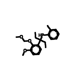 CCC(CC)(Pc1ccccc1C)c1cccc(OC)c1OCOC